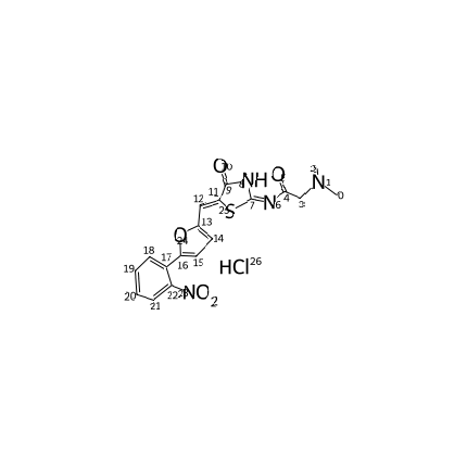 CN(C)CC(=O)/N=C1\NC(=O)/C(=C/c2ccc(-c3ccccc3[N+](=O)[O-])o2)S1.Cl